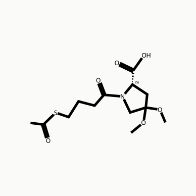 COC1(OC)C[C@@H](C(=O)O)N(C(=O)CCCSC(C)=O)C1